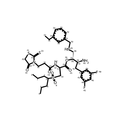 CCCC(CCC)S(=O)(=O)CC(NC(=O)CCN1C(=O)CSC1=S)C(=O)O[C@H](CNCc1cccc(CC)c1)[C@@H](N)Cc1cc(F)cc(F)c1